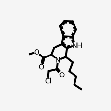 CCCCCC1c2[nH]c3ccccc3c2CC(C(=O)OC)N1C(=O)CCl